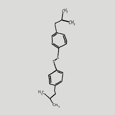 CC(C)Cc1ccc(SSc2ccc(CC(C)C)cc2)cc1